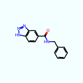 O=C(NCc1ccccc1)c1ccc2[nH]nnc2c1